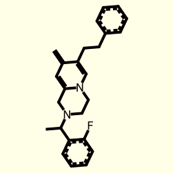 C=C1C=C2CN(C(C)c3ccccc3F)CCN2C=C1CCc1ccccc1